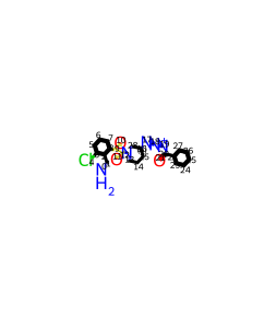 NCc1c(Cl)cccc1S(=O)(=O)N1CCC[C@H](N=[N+]=NC(=O)c2ccccc2)C1